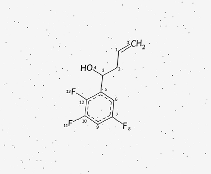 C=CCC(O)c1cc(F)cc(F)c1F